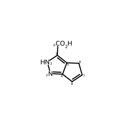 O=C(O)c1[nH]nc2c1CC=C2